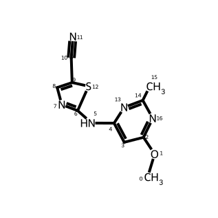 COc1cc(Nc2ncc(C#N)s2)nc(C)n1